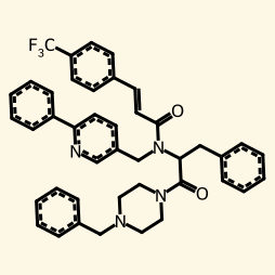 O=C(C(Cc1ccccc1)N(Cc1ccc(-c2ccccc2)nc1)C(=O)C=Cc1ccc(C(F)(F)F)cc1)N1CCN(Cc2ccccc2)CC1